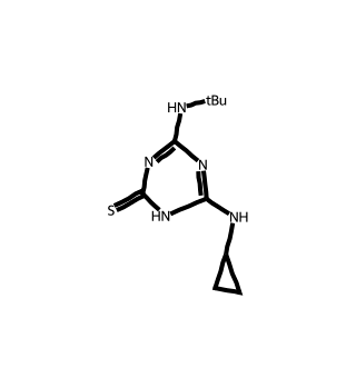 CC(C)(C)Nc1nc(NC2CC2)[nH]c(=S)n1